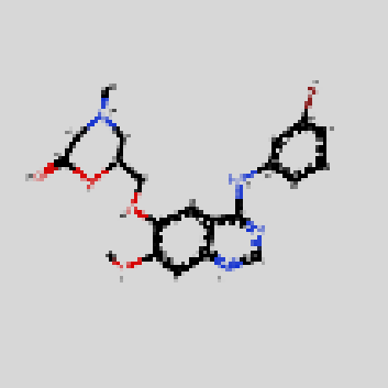 COc1cc2ncnc(Nc3cccc(Br)c3)c2cc1OCC1CN(C)CC(=O)O1